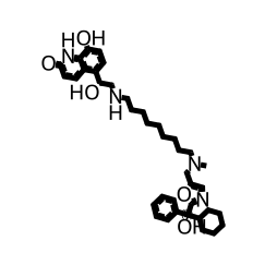 CN(CCCCCCCCCNCC(O)c1ccc(O)c2[nH]c(=O)ccc12)Cc1cnc([C@](O)(c2ccccc2)C2CCCCC2)o1